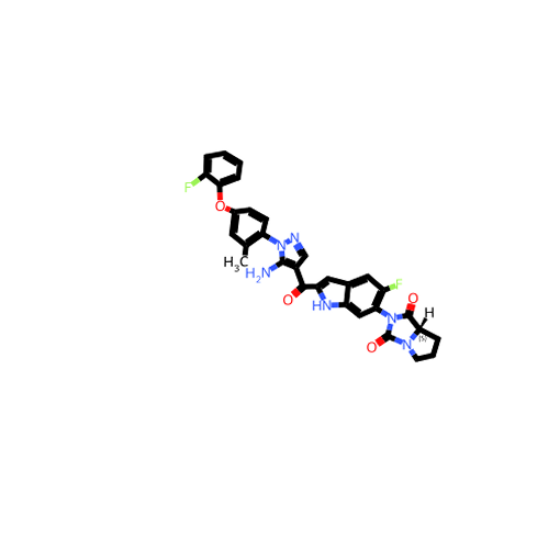 Cc1cc(Oc2ccccc2F)ccc1-n1ncc(C(=O)c2cc3cc(F)c(N4C(=O)[C@@H]5CCCN5C4=O)cc3[nH]2)c1N